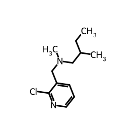 CCC(C)CN(C)Cc1cccnc1Cl